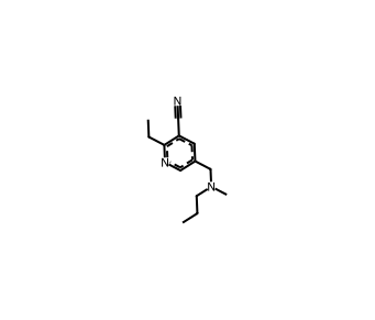 CCCN(C)Cc1cnc(CC)c(C#N)c1